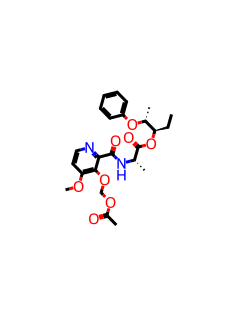 CC[C@@H](OC(=O)[C@H](C)NC(=O)c1nccc(OC)c1OCOC(C)=O)[C@@H](C)Oc1ccccc1